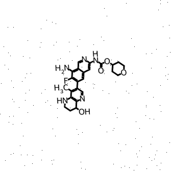 Cc1c(-c2cc3cc(NC(=O)OC4CCOCC4)ncc3c(N)c2F)cnc2c1NCCC2O